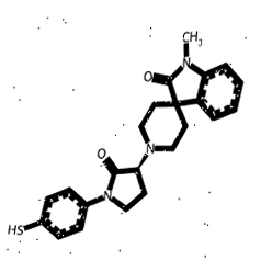 CN1C(=O)C2(CCN([C@H]3CCN(c4ccc(S)cc4)C3=O)CC2)c2ccccc21